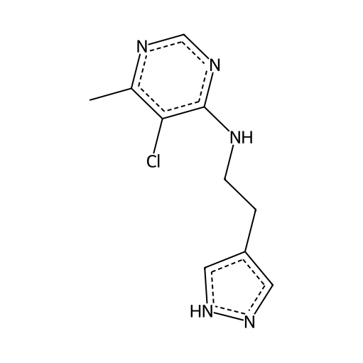 Cc1ncnc(NCCc2cn[nH]c2)c1Cl